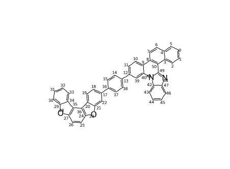 c1ccc2c(c1)ccc1c3ccc(-c4ccc(-c5ccc6c(c5)oc5ccc7oc8ccccc8c7c56)cc4)cc3n3c4ccccc4nc3c21